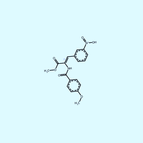 COC(=O)/C(=C/c1cccc([N+](=O)O)c1)NC(=O)c1ccc(OC)cc1